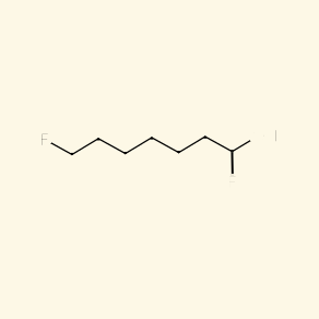 OC(F)CCCCCCF